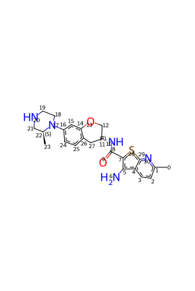 Cc1ccc2c(N)c(C(=O)N[C@H]3COc4cc(N5CCNC[C@@H]5C)ccc4C3)sc2n1